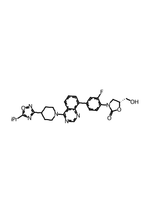 CC(C)c1nc(C2CCN(c3ncnc4c(-c5ccc(N6C[C@H](CO)OC6=O)c(F)c5)cccc34)CC2)no1